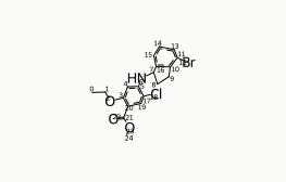 CCOc1cc(NC2CCc3c(Br)cccc32)c(Cl)cc1C(=O)OC